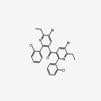 CCc1nc(-c2ccccc2Cl)c(C(=O)c2cc(Br)c(CC)nc2-c2ccccc2Cl)cc1Br